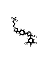 CS(=O)(=O)CCCN1CC(F)(c2ccc(C3=NOC(c4cc(Cl)c(F)c(Cl)c4)(C(F)(F)F)C3)cc2)C1